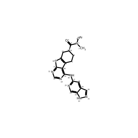 CCCN(C)C(=O)[C@H]1CCc2c(sc3ncnc(Nc4cc5cn[nH]c5cn4)c23)C1